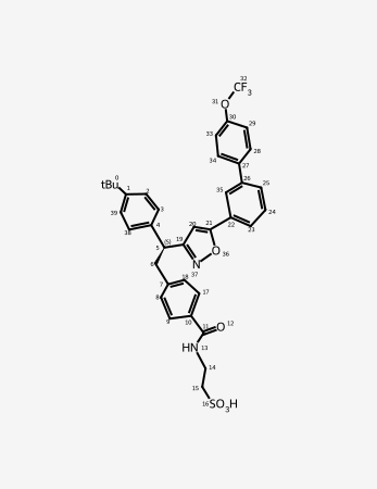 CC(C)(C)c1ccc([C@H](Cc2ccc(C(=O)NCCS(=O)(=O)O)cc2)c2cc(-c3cccc(-c4ccc(OC(F)(F)F)cc4)c3)on2)cc1